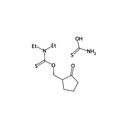 CCN(CC)C(=S)OCC1CCCC1=O.NC(O)=S